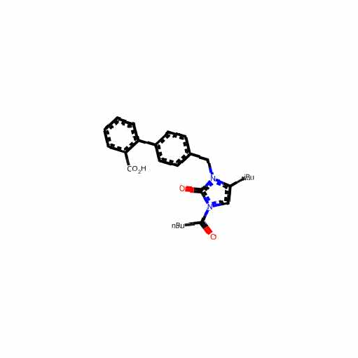 CCCCC(=O)n1cc(C(C)CC)n(Cc2ccc(-c3ccccc3C(=O)O)cc2)c1=O